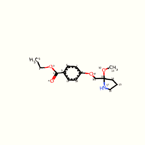 CCOC(=O)c1ccc(OCC2(OC)CCCN2)cc1